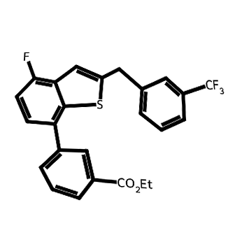 CCOC(=O)c1cccc(-c2ccc(F)c3cc(Cc4cccc(C(F)(F)F)c4)sc23)c1